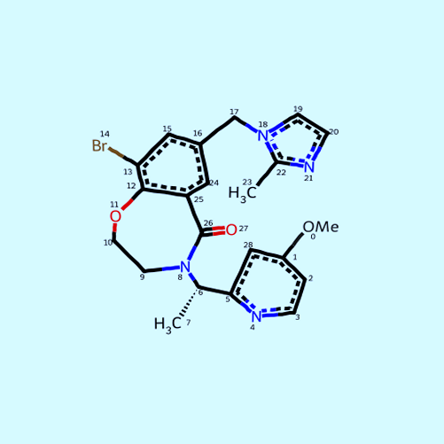 COc1ccnc([C@H](C)N2CCOc3c(Br)cc(Cn4ccnc4C)cc3C2=O)c1